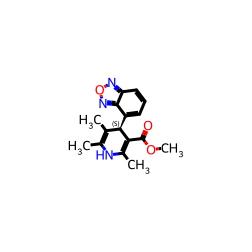 COC(=O)C1=C(C)NC(C)=C(C)[C@H]1c1cccc2nonc12